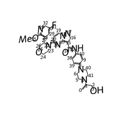 C=C(CO)N1CCN(c2ccc(NC(=O)c3cnn4ccc(N5CCOCC5c5cc(F)cnc5OC)nc34)cc2)CC1